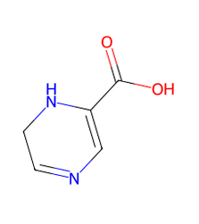 O=C(O)C1=CN=CCN1